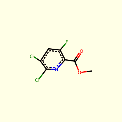 COC(=O)c1nc(Cl)c(Cl)cc1F